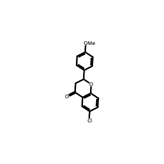 COc1ccc(C2CC(=O)c3cc(Cl)ccc3O2)cc1